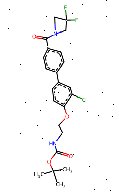 CC(C)(C)OC(=O)NCCOc1ccc(-c2ccc(C(=O)N3CC(F)(F)C3)cc2)cc1Cl